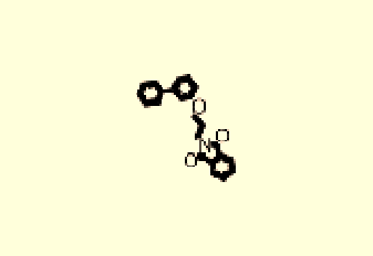 O=C1c2ccccc2C(=O)N1CCCOc1cccc(-c2ccccc2)c1